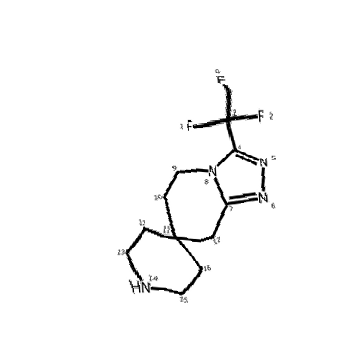 FC(F)(F)c1nnc2n1CCC1(CCNCC1)C2